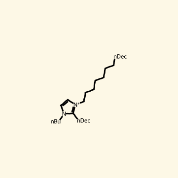 CCCCCCCCCCCCCCCCC[n+]1ccn(CCCC)c1CCCCCCCCCC